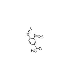 O=C(O)c1ccc(N=C=S)c(N=C=S)c1